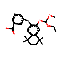 CCOC(OC)Oc1cc2c(cc1[Se]c1cccc(C(=O)O)c1)C(C)(C)CCC2(C)C